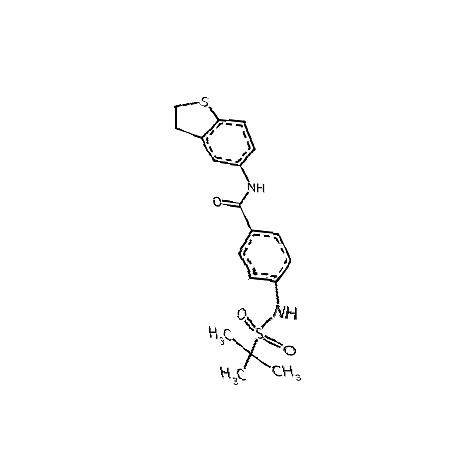 CC(C)(C)S(=O)(=O)Nc1ccc(C(=O)Nc2ccc3c(c2)CCS3)cc1